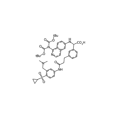 CN(C)Cc1cc(NC(=O)CCc2cccc(C(Nc3ccc4c(N(C(=O)OC(C)(C)C)C(=O)OC(C)(C)C)nccc4c3)C(=O)O)c2)ccc1S(=O)(=O)C1CC1